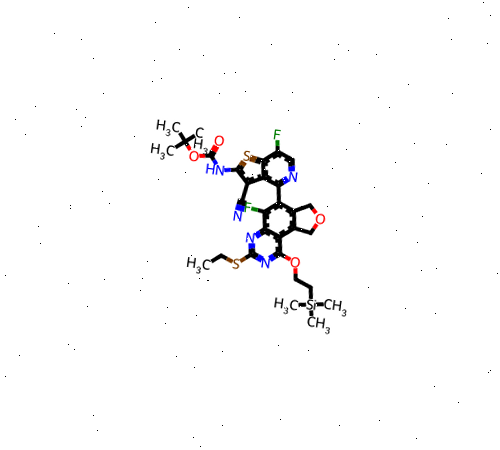 CCSc1nc(OCC[Si](C)(C)C)c2c3c(c(-c4ncc(F)c5sc(NC(=O)OC(C)(C)C)c(C#N)c45)c(F)c2n1)COC3